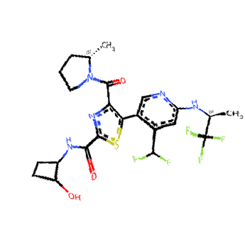 C[C@H](Nc1cc(C(F)F)c(-c2sc(C(=O)NC3CCC3O)nc2C(=O)N2CCC[C@@H]2C)cn1)C(F)(F)F